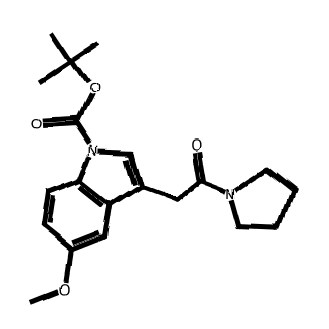 COc1ccc2c(c1)c(CC(=O)N1CCCC1)cn2C(=O)OC(C)(C)C